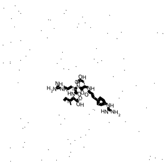 CC[C@H](C)[C@H](NC(=O)[C@H](CCCNC(=N)N)NC(=O)[C@H](CC(=O)O)NC(=O)C=Cc1ccc(NC(=N)N)cc1)C(=O)O